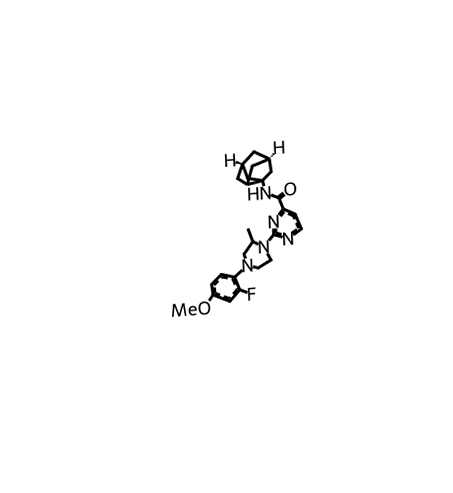 COc1ccc(N2CCN(c3nccc(C(=O)NC45C[C@@H]6CC4C[C@@H](C6)C5)n3)C(C)C2)c(F)c1